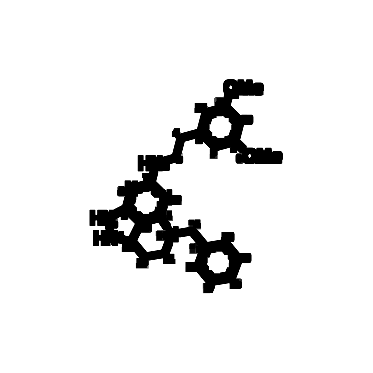 COc1cc(CCNc2nc3c4c(n2)N(Cc2ccccc2)CCC4NN3)cc(OC)c1